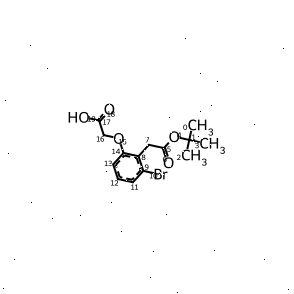 CC(C)(C)OC(=O)Cc1c(Br)cccc1OCC(=O)O